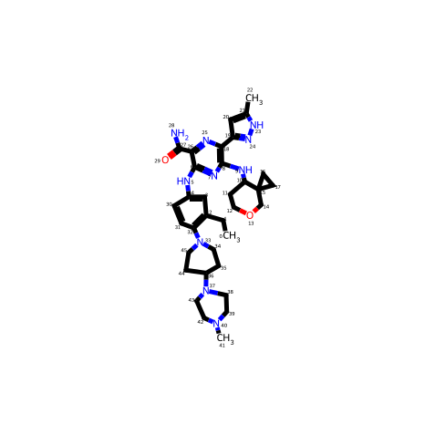 CCc1cc(Nc2nc(NC3CCOCC34CC4)c(-c3cc(C)[nH]n3)nc2C(N)=O)ccc1N1CCC(N2CCN(C)CC2)CC1